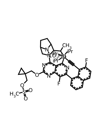 CC1Oc2nc(-c3cccc4ccc(F)c(C#C[Si](C(C)C)(C(C)C)C(C)C)c34)c(F)c3nc(OCC4(COS(C)(=O)=O)CC4)nc(c23)N2CC3CCC(C12)N3C(=O)O